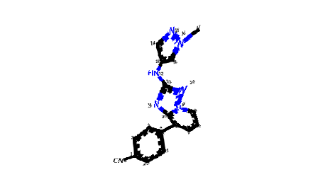 [C-]#[N+]c1ccc(-c2cccn3nc(Nc4cnn(C)c4)nc23)cc1